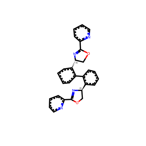 c1ccc(C2=N[C@@H](c3ccccc3-c3ccccc3[C@H]3COC(c4ccccn4)=N3)CO2)nc1